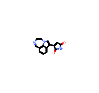 O=C1C=C(c2cn3c4c(cccc24)C=NC=C3)C(=O)N1